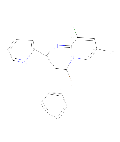 FC(F)(F)C1=CN2C(=NC(c3ccccn3)CC2Sc2ccccc2)C(Cl)=C1